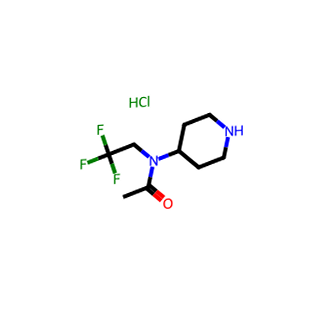 CC(=O)N(CC(F)(F)F)C1CCNCC1.Cl